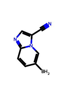 Bc1ccc2ncc(C#N)n2c1